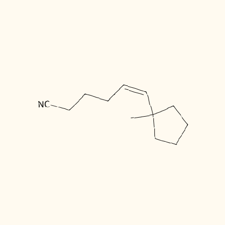 CC1(/C=C\CCCC#N)CCCC1